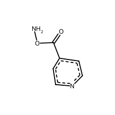 NOC(=O)c1ccncc1